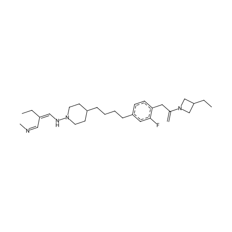 C=C(Cc1ccc(CCCCC2CCN(N/C=C(\C=N/C)CC)CC2)cc1F)N1CC(CC)C1